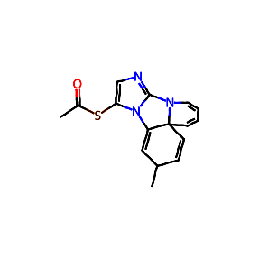 CC(=O)Sc1cnc2n1C1=CC(C)C=CC13C=CC=CN23